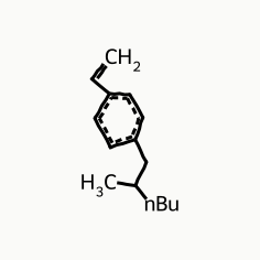 C=Cc1ccc(CC(C)CCCC)cc1